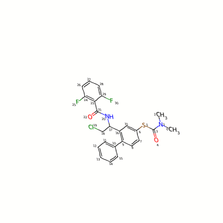 CN(C)C(=O)Sc1ccc(-c2ccccc2)c(C(CCl)NC(=O)c2c(F)cccc2F)c1